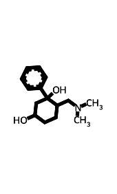 CN(C)CC1CCC(O)CC1(O)c1ccccc1